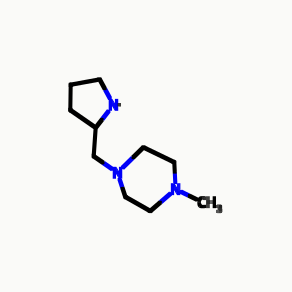 CN1CCN(CC2CCC[N]2)CC1